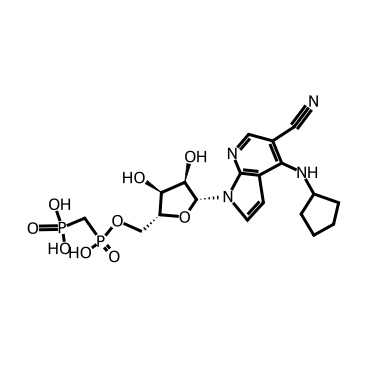 N#Cc1cnc2c(ccn2[C@@H]2O[C@H](COP(=O)(O)CP(=O)(O)O)[C@@H](O)[C@H]2O)c1NC1CCCC1